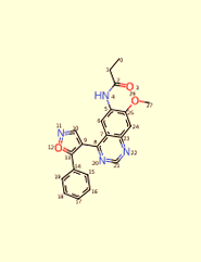 CCC(=O)Nc1cc2c(-c3cnoc3-c3ccccc3)ncnc2cc1OC